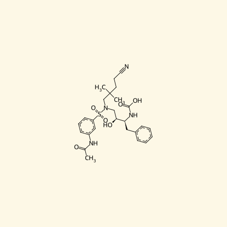 CC(=O)Nc1cccc(S(=O)(=O)N(C[C@H](O)[C@H](Cc2ccccc2)NC(=O)O)CC(C)(C)CCC#N)c1